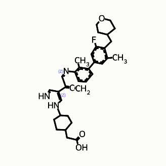 C=C=C(/C=N\c1cccc(-c2cc(C)c(CC3CCOCC3)c(F)c2)c1C)/C(C=N)=C/NC1CCC(CC(=O)O)CC1